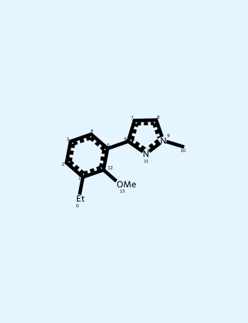 CCc1cccc(-c2ccn(C)n2)c1OC